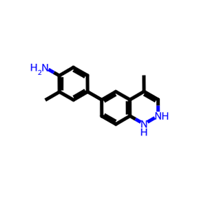 CC1=CNNc2ccc(-c3ccc(N)c(C)c3)cc21